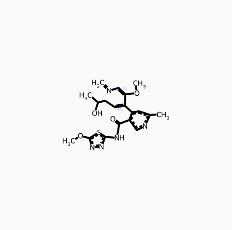 C=N/C=C(OC)\C(=C/CC(C)O)c1cc(C)ncc1C(=O)Nc1nnc(OC)s1